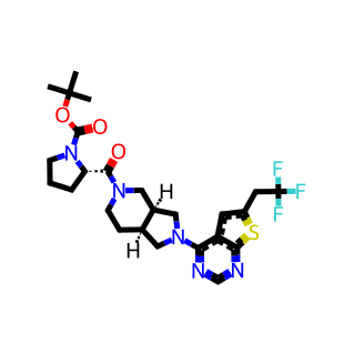 CC(C)(C)OC(=O)N1CCC[C@H]1C(=O)N1CC[C@@H]2CN(c3ncnc4sc(CC(F)(F)F)cc34)C[C@@H]2C1